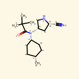 CC(C)(C)C(=O)N([C@@H]1CN[C@H](C#N)C1)[C@H]1CC[C@@H](C)CC1